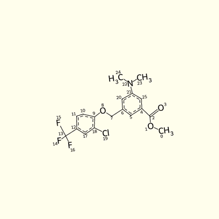 COC(=O)c1cc(COc2ccc(C(F)(F)F)cc2Cl)cc(N(C)C)c1